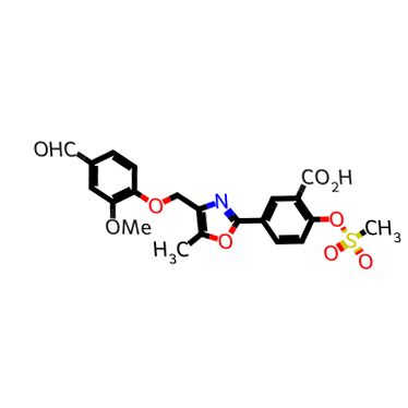 COc1cc(C=O)ccc1OCc1nc(-c2ccc(OS(C)(=O)=O)c(C(=O)O)c2)oc1C